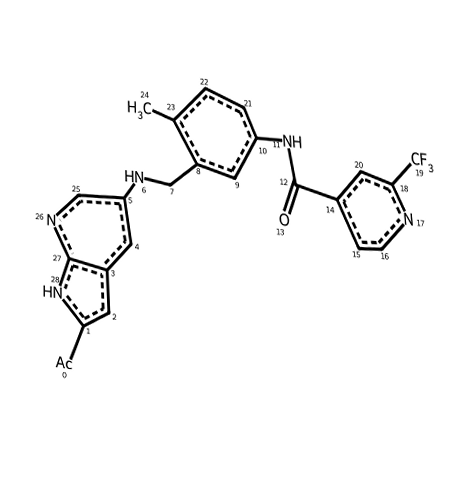 CC(=O)c1cc2cc(NCc3cc(NC(=O)c4ccnc(C(F)(F)F)c4)ccc3C)cnc2[nH]1